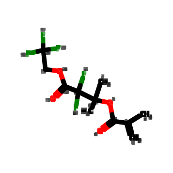 C=C(C)C(=O)OC(C)(C)C(F)(F)C(=O)OCC(F)(F)F